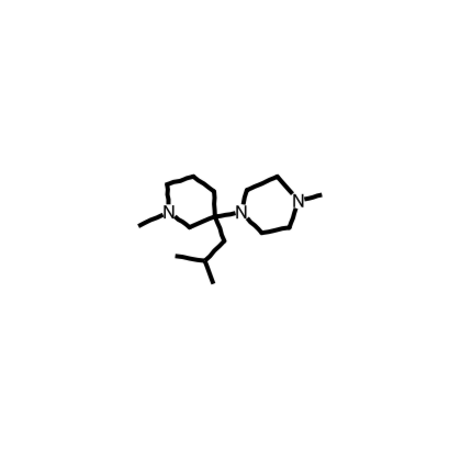 CC(C)CC1(N2CCN(C)CC2)CCCN(C)C1